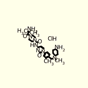 Cc1cc(-n2ccc(NC(=O)N3CCN(C(=O)C(C)(C)N)CC3)nc2=O)ccc1CN(C)C1CCC(N)CC1.Cl